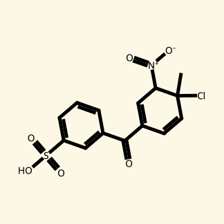 CC1(Cl)C=CC(C(=O)c2cccc(S(=O)(=O)O)c2)=CC1[N+](=O)[O-]